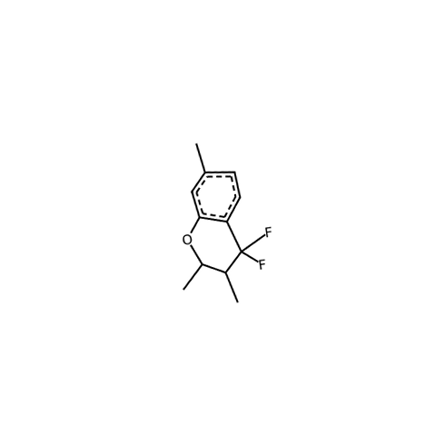 Cc1ccc2c(c1)OC(C)C(C)C2(F)F